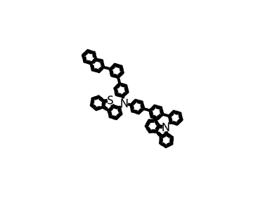 c1cc(-c2ccc(N(c3ccc(-c4ccc(-c5ccccc5-n5c6ccccc6c6ccccc65)cc4)cc3)c3cccc4c3sc3ccccc34)cc2)cc(-c2ccc3ccccc3c2)c1